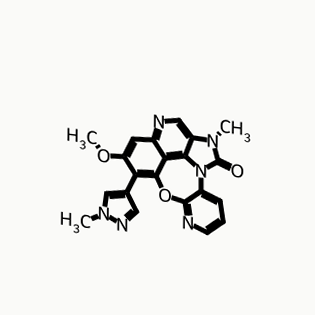 COc1cc2ncc3c4c2c(oc2ncccc2n4c(=O)n3C)c1-c1cnn(C)c1